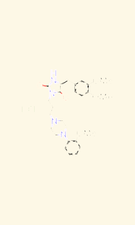 COc1ccc(/C=C2/NC(=O)N(CCCN3CCN(c4ccccc4OC)CC3)C2=O)cc1OC.Cl